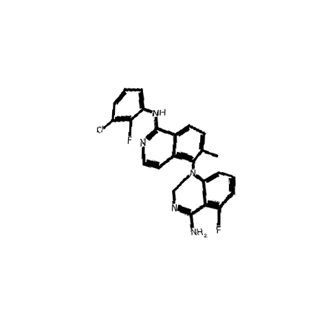 Cc1ccc2c(Nc3cccc(Cl)c3F)nccc2c1N1CN=C(N)c2c(F)cccc21